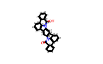 O=c1c2ccccc2c2cccc3c4cc5c(cc4n1c23)c1cccc2c1n5C(O)c1ccccc1-2